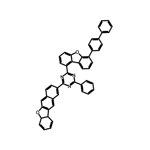 C1=CC2Oc3cc4ccc(-c5nc(-c6ccccc6)nc(-c6cccc7oc8c(-c9ccc(-c%10ccccc%10)cc9)cccc8c67)n5)cc4cc3C2C=C1